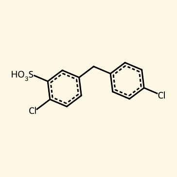 O=S(=O)(O)c1cc(Cc2ccc(Cl)cc2)ccc1Cl